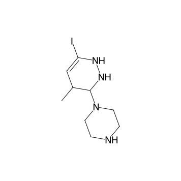 CC1C=C(I)NNC1N1CCNCC1